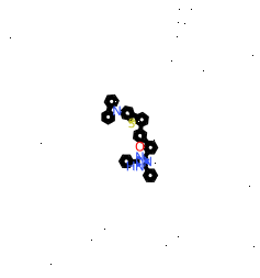 c1ccc(C2=NC(c3cccc4c3oc3ccc(-c5cccc6c5sc5cc(-n7c8ccccc8c8ccccc87)ccc56)cc34)=NC(c3ccccc3)N2)cc1